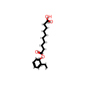 CCc1ccccc1OC(=O)CCCCCCCCC(=O)O